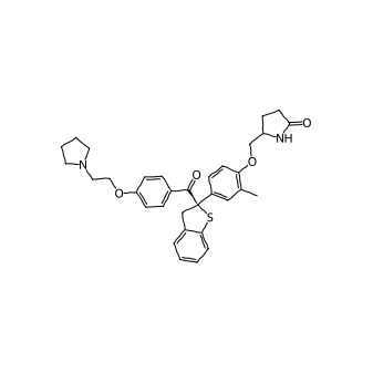 Cc1cc([C@@]2(C(=O)c3ccc(OCCN4CCCC4)cc3)Cc3ccccc3S2)ccc1OCC1CCC(=O)N1